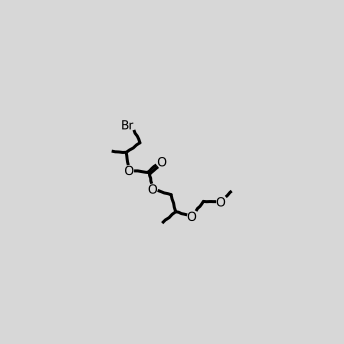 COCOC(C)COC(=O)OC(C)CBr